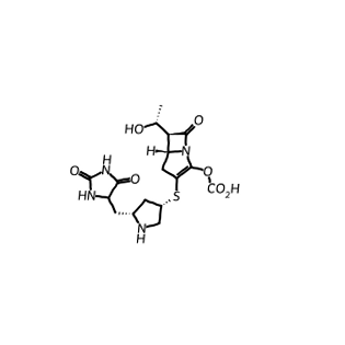 C[C@@H](O)[C@H]1C(=O)N2C(OC(=O)O)=C(S[C@@H]3CN[C@H](CC4NC(=O)NC4=O)C3)C[C@H]12